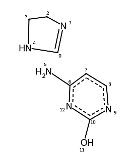 C1=NCCN1.Nc1ccnc(O)n1